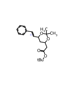 CC(C)(C)OC(=O)CC1CC(/C=C/c2ccccc2)OC(C)(C)O1